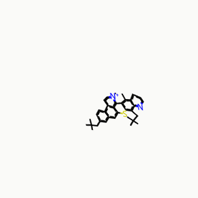 Cc1c2c(c(CC(C)(C)C)c3ncccc13)Sc1cc3cc(CC(C)(C)C)ccc3c3cc[n+](C)c-2c13